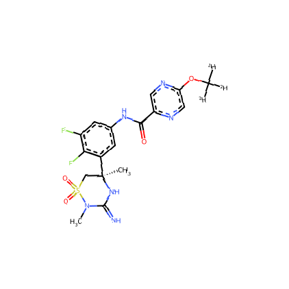 [2H]C([2H])([2H])Oc1cnc(C(=O)Nc2cc(F)c(F)c([C@]3(C)CS(=O)(=O)N(C)C(=N)N3)c2)cn1